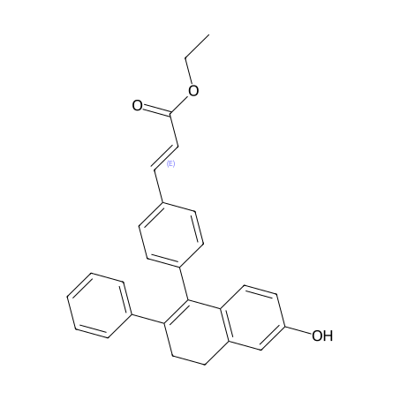 CCOC(=O)/C=C/c1ccc(C2=C(c3ccccc3)CCc3cc(O)ccc32)cc1